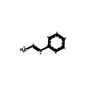 [CH2]C=Nc1ccccc1